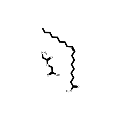 CCCCCCCC/C=C\CCCCCCCC(N)=O.NCC(=O)OCC(=O)O